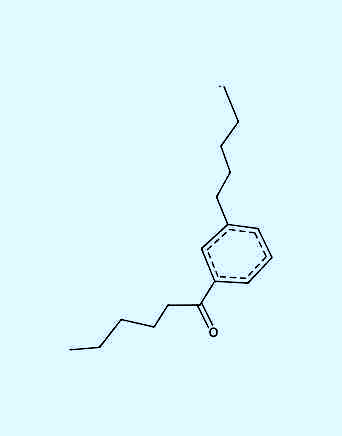 [CH2]CCCCc1cccc(C(=O)CCCCC)c1